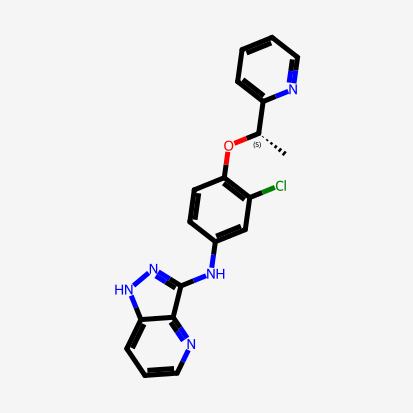 C[C@H](Oc1ccc(Nc2n[nH]c3cccnc23)cc1Cl)c1ccccn1